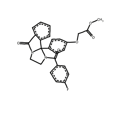 COC(=O)COc1ccc(C23c4ccccc4C(=O)N2CCN3C(=O)c2ccc(F)cc2)cc1